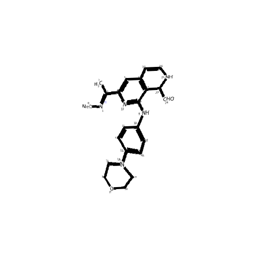 CO/N=C(\C)c1cc2c(c(Nc3ccc(N4CCOCC4)cc3)n1)C(C=O)NC=C2